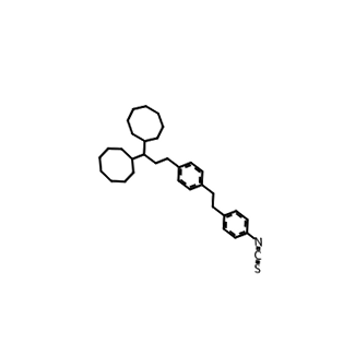 S=C=Nc1ccc(CCc2ccc(CCC(C3CCCCCCC3)C3CCCCCCC3)cc2)cc1